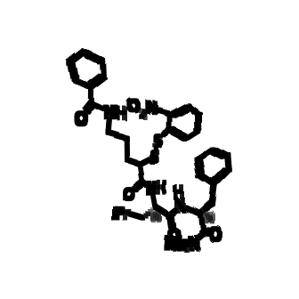 CNC(=O)[C@H](Cc1ccccc1)NC(=O)[C@H](CC(C)C)NC(=O)C(CCCNC(=O)c1ccccc1)SSc1ccccc1[N+](=O)[O-]